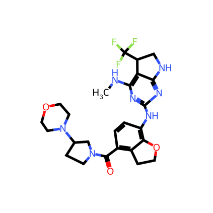 CNc1nc(Nc2ccc(C(=O)N3CCC(N4CCOCC4)C3)c3c2OCC3)nc2c1C(C(F)(F)F)CN2